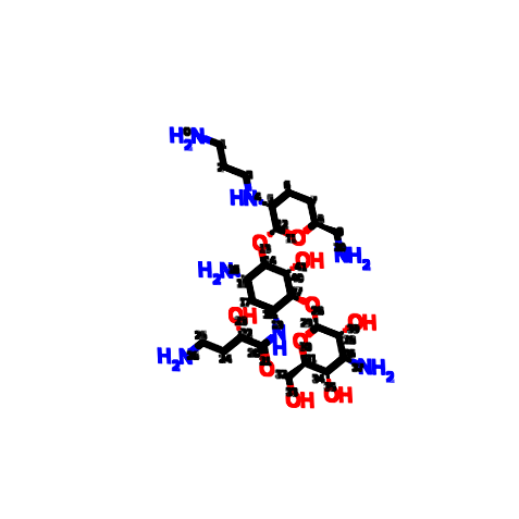 NCCCN[C@@H]1CC[C@@H](CN)O[C@@H]1OC1[C@@H](N)C[C@@H](NC(=O)[C@@H](O)CCN)[C@H](O[C@H]2O[C@H](CO)[C@@H](O)[C@H](N)[C@H]2O)[C@H]1O